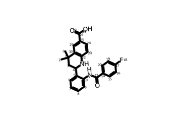 CC1(C)CC(c2ccccc2NC(=O)c2ccc(F)cc2)Nc2ccc(C(=O)O)cc21